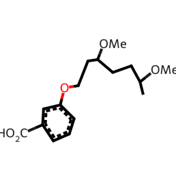 COC(C)CCC(CCOc1cccc(C(=O)O)c1)OC